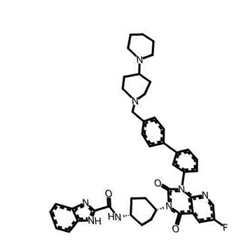 O=C(N[C@H]1CC[C@@H](n2c(=O)c3cc(F)cnc3n(-c3cccc(-c4ccc(CN5CCC(N6CCCCC6)CC5)cc4)c3)c2=O)CC1)c1nc2ccccc2[nH]1